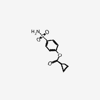 NS(=O)(=O)c1ccc(OC(=O)C2CC2)cc1